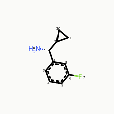 N[C@@H](c1cccc(F)c1)C1CC1